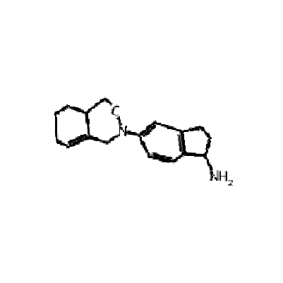 NC1CCc2cc(N3CCC4CCCC=C4C3)ccc21